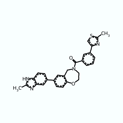 Cc1nc2cc(-c3ccc4c(c3)CN(C(=O)c3cccc(-c5csc(C)n5)c3)CCO4)ccc2[nH]1